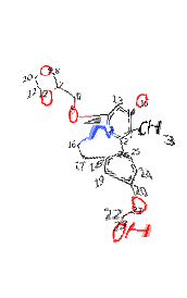 Cc1c2n(c(OCC3COCCO3)cc1=O)CCc1cc(OCO)ccc1-2